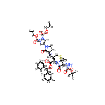 C=CCOC(=O)N1CC(N2CC/C(=C\C3=C(C(=O)OC(c4ccccc4)c4ccccc4)N4C(=O)[C@@H](NC(=O)OC(C)(C)C)[C@H]4SC3)C2=O)CN1C(=O)OCC=C